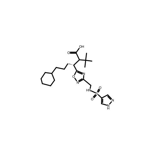 CC(C)(C)C(C(=O)O)[C@@H](CCCC1CCCCC1)c1nc(CNS(=O)(=O)c2cn[nH]c2)no1